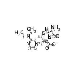 CCN(CC)c1c[n+](CC2=C(C(=O)[O-])N3C(=O)C(N)[C@@H]3SC2)ccn1